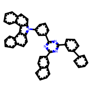 c1ccc(-c2cccc(-c3nc(-c4cccc(-n5c6ccc7ccccc7c6c6c7ccccc7ccc65)c4)nc(-c4ccc5ccccc5c4)n3)c2)cc1